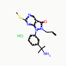 C=CCn1c(=O)c2cnc(SC)nc2n1-c1cccc(C(C)(C)N)c1.Cl